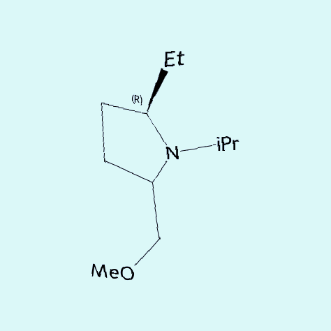 CC[C@@H]1CCC(COC)N1C(C)C